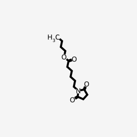 CCCCOC(=O)CCCCCN1C(=O)CCC1=O